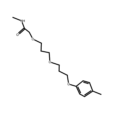 CNC(=O)COCCCOCCCOc1ccc(C)cc1